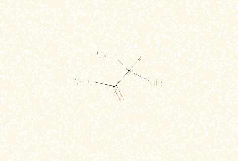 CCCC(C)(OC)C(=O)OC